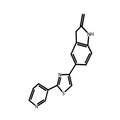 C=C1Cc2cc(-c3csc(-c4cccnc4)n3)ccc2N1